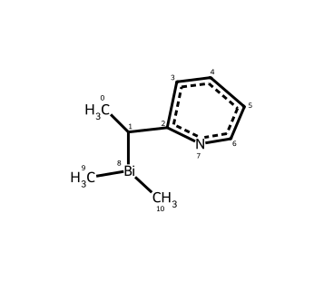 C[CH](c1ccccn1)[Bi]([CH3])[CH3]